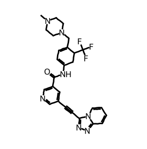 CN1CCN(CC2=CC=C(NC(=O)c3cncc(C#Cc4nnc5ccccn45)c3)CC2C(F)(F)F)CC1